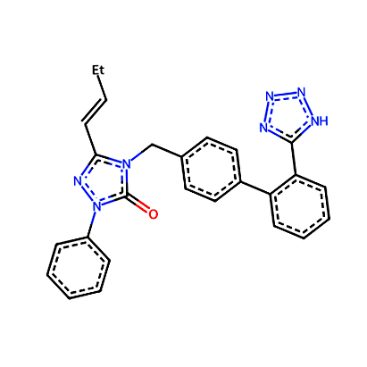 CCC=Cc1nn(-c2ccccc2)c(=O)n1Cc1ccc(-c2ccccc2-c2nnn[nH]2)cc1